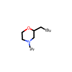 CC(C)N1CCOC(CC(C)(C)C)C1